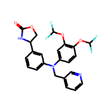 O=C1NC(c2cccc(N(Cc3cccnc3)c3ccc(OC(F)F)c(OC(F)F)c3)c2)CO1